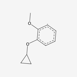 COc1[c]cccc1OC1CC1